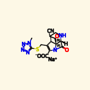 Cn1nnnc1SCC1=C(C(=O)[O-])N2C(=O)[C@H]3NCCC1[C@]32C(=O)CC#N.[Na+]